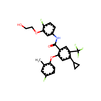 Cc1cc(F)ccc1Oc1cc(C2CC2)c(C(F)(F)F)cc1C(=O)Nc1ccc(F)c(OCCO)c1